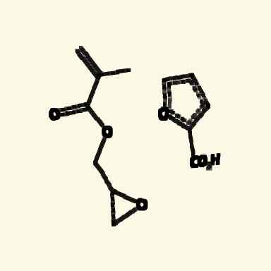 C=C(C)C(=O)OCC1CO1.O=C(O)c1ccco1